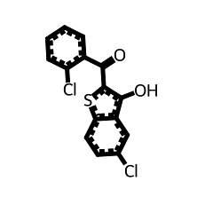 O=C(c1ccccc1Cl)c1sc2ccc(Cl)cc2c1O